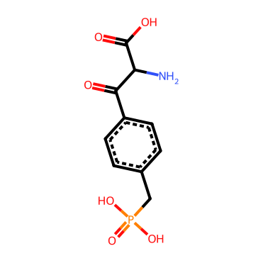 NC(C(=O)O)C(=O)c1ccc(CP(=O)(O)O)cc1